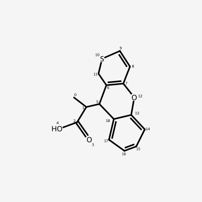 CC(C(=O)O)C1C2=C(C=CSC2)Oc2ccccc21